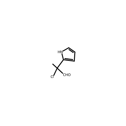 CC(Cl)(C=O)c1ccc[nH]1